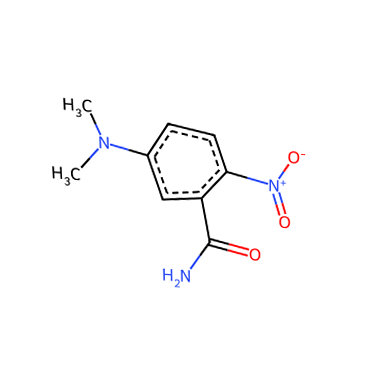 CN(C)c1ccc([N+](=O)[O-])c(C(N)=O)c1